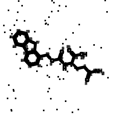 NC(=O)CC[C@@H](NC(=O)OCc1cccc2c1Cc1ccccc1-2)C(=O)O